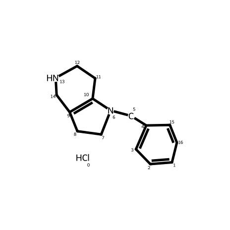 Cl.c1ccc(CN2CCC3=C2CCNC3)cc1